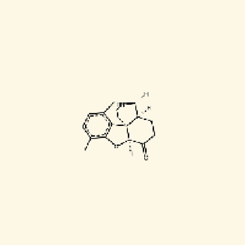 Cc1ccc2c3c1O[C@@H]1C(=O)CC[C@@H]4[C@H](C2)NCC[C@@]314